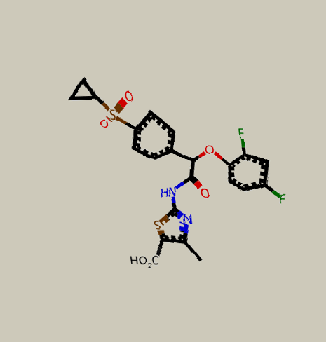 Cc1nc(NC(=O)C(Oc2ccc(F)cc2F)c2ccc(S(=O)(=O)C3CC3)cc2)sc1C(=O)O